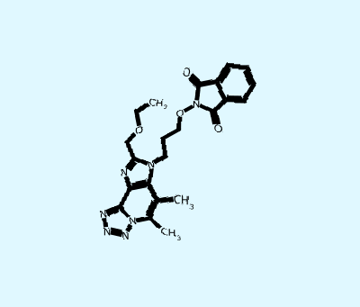 CCOCc1nc2c(c(C)c(C)n3nnnc23)n1CCCON1C(=O)c2ccccc2C1=O